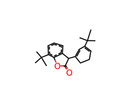 CC(C)(C)C1=CCCC(C2C(=O)Oc3c2cccc3C(C)(C)C)=C1